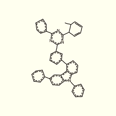 CC1C=CC=CC1c1nc(-c2ccccc2)nc(-c2cccc(-c3cccc4c3c3cc(-c5ccccc5)ccc3n4-c3ccccc3)c2)n1